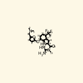 CN(C)Cc1ccc(Oc2ccc(C(F)(F)F)c3cc(C(=O)N(C)C(=N)N)[nH]c23)o1